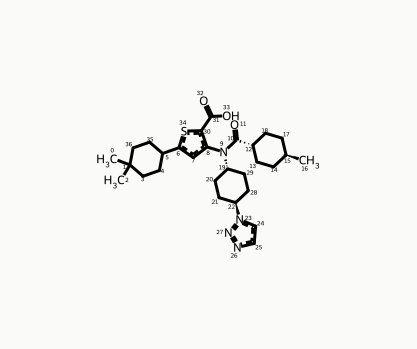 CC1(C)CCC(c2cc(N(C(=O)[C@H]3CC[C@H](C)CC3)[C@H]3CC[C@H](n4ccnn4)CC3)c(C(=O)O)s2)CC1